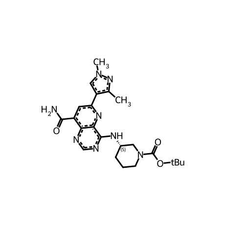 Cc1nn(C)cc1-c1cc(C(N)=O)c2ncnc(N[C@H]3CCCN(C(=O)OC(C)(C)C)C3)c2n1